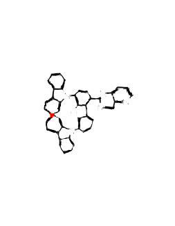 c1cnc2cnc(-c3ccc(-n4c5ccccc5c5ccccc54)c4oc5c(-n6c7ccccc7c7ccccc76)cccc5c34)nc2c1